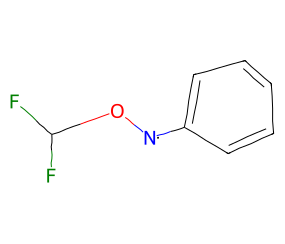 FC(F)O[N]c1ccccc1